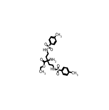 CCOC(=O)C(N)(CCNS(=O)(=O)c1ccc(C)cc1)CCNS(=O)(=O)c1ccc(C)cc1